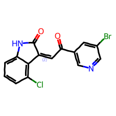 O=C1Nc2cccc(Cl)c2/C1=C/C(=O)c1cncc(Br)c1